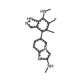 CNc1cn2cc(-c3c(C)c(F)c(NC)c4[nH]ncc34)ccc2n1